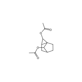 CC(=O)OC1C2CCC13C(C2)C3OC(C)=O